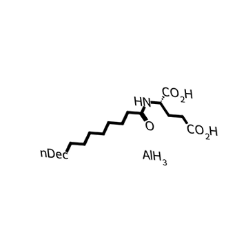 CCCCCCCCCCCCCCCCCC(=O)N[C@@H](CCC(=O)O)C(=O)O.[AlH3]